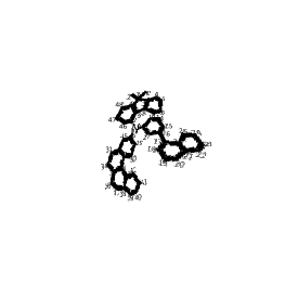 CC1(C)c2ccccc2-c2c(N(c3cccc(-c4cccc5ccccc45)c3)c3ccc4c(ccc5ccc6ccccc6c54)c3)cccc21